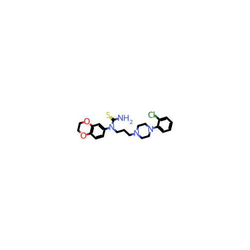 NC(=S)N(CCCN1CCN(c2ccccc2Cl)CC1)c1ccc2c(c1)OCCO2